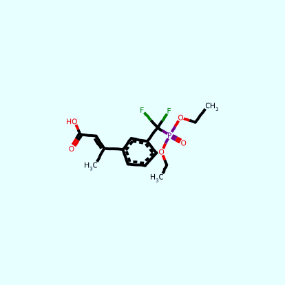 CCOP(=O)(OCC)C(F)(F)c1cccc(/C(C)=C/C(=O)O)c1